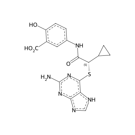 Nc1nc(S[C@H](C(=O)Nc2ccc(O)c(C(=O)O)c2)C2CC2)c2[nH]cnc2n1